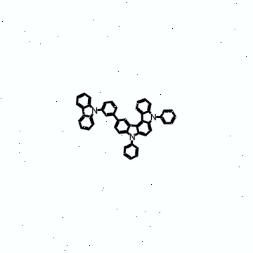 c1ccc(-n2c3ccccc3c3c4c5cc(-c6cccc(-n7c8ccccc8c8ccccc87)c6)ccc5n(-c5ccccc5)c4ccc32)cc1